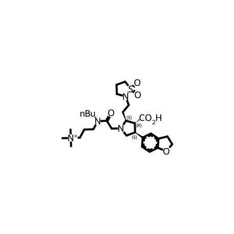 CCCCN(CCC[N+](C)(C)C)C(=O)CN1C[C@H](c2ccc3c(c2)CCO3)[C@@H](C(=O)O)[C@@H]1CCN1CCCS1(=O)=O